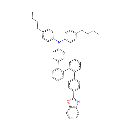 CCCCc1ccc(N(c2ccc(CCCC)cc2)c2ccc(-c3ccccc3-c3ccccc3-c3ccc(-c4nc5ccccc5o4)cc3)cc2)cc1